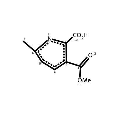 COC(=O)c1ccc(C)nc1C(=O)O